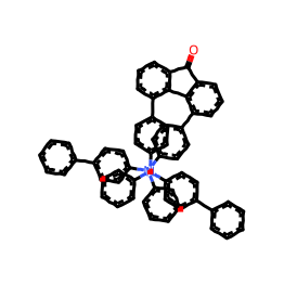 O=C1c2cccc(-c3ccc(N(c4ccccc4)c4ccc(-c5ccccc5)cc4)cc3)c2-c2c1cccc2-c1ccc(N(c2ccccc2)c2ccc(-c3ccccc3)cc2)cc1